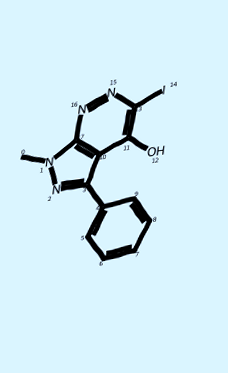 Cn1nc(-c2ccccc2)c2c(O)c(I)nnc21